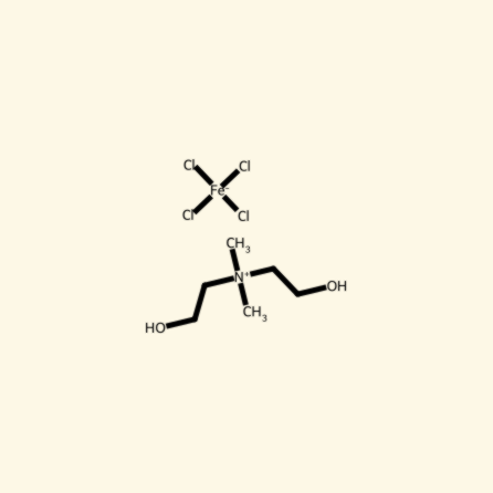 C[N+](C)(CCO)CCO.[Cl][Fe-]([Cl])([Cl])[Cl]